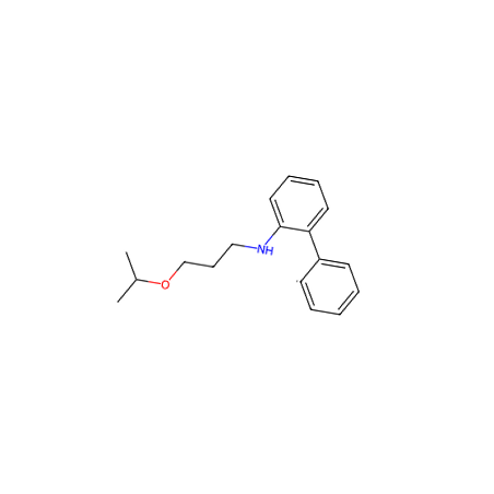 CC(C)OCCCNc1ccccc1-c1[c]cccc1